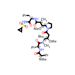 CC[C@H](C)[C@@H]([C@@H](CC(=O)N1CCC[C@H]1[C@H](OC)[C@@H](C)C(=O)N[C@@H](CC(C)C)C(=O)NS(=O)(=O)C1CC1)OC)N(C)C(=O)[C@@H](NC(=O)[C@@H](NC)C(C)C)C(C)C